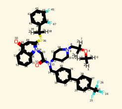 [2H]C([2H])([2H])OC([2H])([2H])CN1CCC(N(Cc2ccc(-c3ccc(C(F)(F)F)cc3)cc2)C(=O)Cn2c(SC([2H])([2H])c3cccc(F)c3F)cc(=O)c3ccccc32)CC1